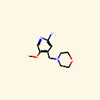 CCOc1cnc(N)cc1CN1CCOCC1